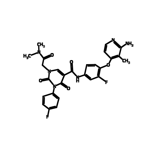 Cc1c(Oc2ccc(NC(=O)c3cn(CC(=O)N(C)C)c(=O)n(-c4ccc(F)cc4)c3=O)cc2F)ccnc1N